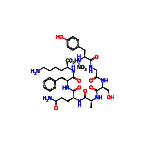 C[C@H](NC(=O)[C@H](CO)NC(=O)CNC(=O)[C@H](Cc1ccc(O)cc1)N[N+](=O)[O-])C(=O)N[C@@H](CCC(N)=O)C(=O)N[C@@H](Cc1ccccc1)C(=O)N[C@@H](CCCCN)C(=O)O